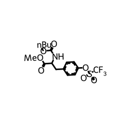 CCCCOC(=O)NC(Cc1ccc(OS(=O)(=O)C(F)(F)F)cc1)C(=O)OC